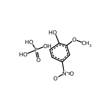 COc1cc([N+](=O)[O-])ccc1O.O=P(O)(O)O